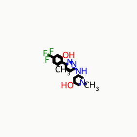 Cc1cc(C(F)(F)F)cc(O)c1-c1ccc(N[C@H]2C[C@@H](O)CN(C)C2)nn1